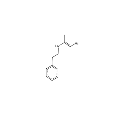 CC(=O)C=C(C)NCCc1ccccc1